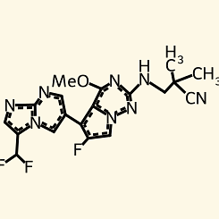 COc1nc(NCC(C)(C)C#N)nn2cc(F)c(-c3cnc4ncc(C(F)F)n4c3)c12